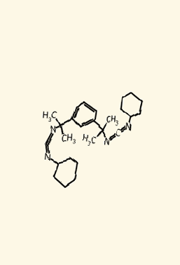 CC(C)(N=C=NC1CCCCC1)c1cccc(C(C)(C)N=C=NC2CCCCC2)c1